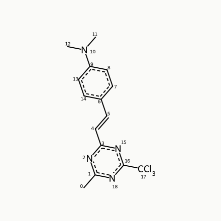 Cc1nc(C=Cc2ccc(N(C)C)cc2)nc(C(Cl)(Cl)Cl)n1